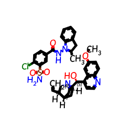 C=C[C@H]1C[N@]2CC[C@H]1C[C@@H]2[C@@H](O)c1ccnc2ccc(OC)cc12.CC1Cc2ccccc2N1NC(=O)c1ccc(Cl)c(S(N)(=O)=O)c1